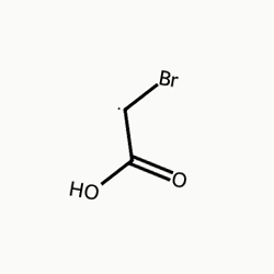 O=C(O)[CH]Br